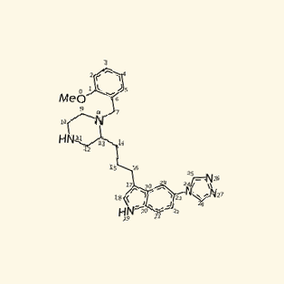 COc1ccccc1CN1CCNCC1CCCc1c[nH]c2ccc(-n3cnnc3)cc12